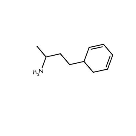 CC(N)CCC1C=CC=CC1